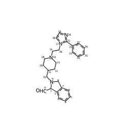 O=CC1c2ccccc2CN1CC1CCN(CCn2ccnc2-c2ccccc2)CC1